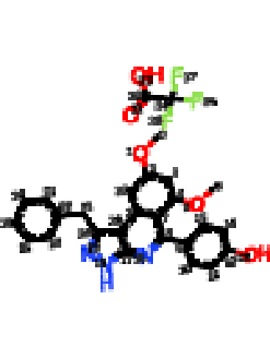 COc1cc(OC)c2c(-c3ccc(O)cc3)nc3[nH]nc(Cc4ccccc4)c3c2c1.O=C(O)C(F)(F)F